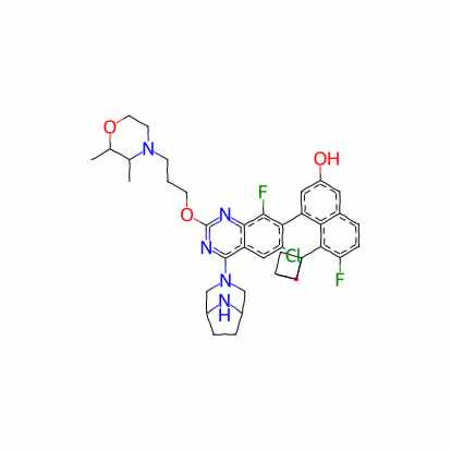 CC1OCCN(CCCOc2nc(N3CC4CCC(C3)N4)c3cc(Cl)c(-c4cc(O)cc5ccc(F)c(C67CC(C6)C7)c45)c(F)c3n2)C1C